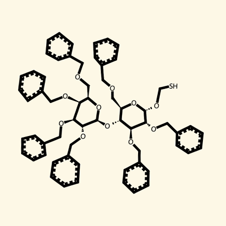 SCO[C@H]1O[C@H](COCc2ccccc2)[C@@H](O[C@@H]2O[C@H](COCc3ccccc3)[C@H](OCc3ccccc3)[C@H](OCc3ccccc3)[C@H]2OCc2ccccc2)[C@H](OCc2ccccc2)[C@H]1OCc1ccccc1